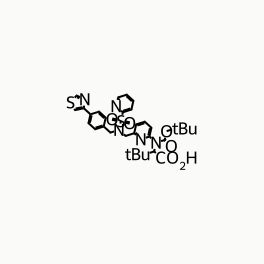 CC(C)(C)OC(=O)N(c1cccc(CN(Cc2ccc(-c3cscn3)cc2)S(=O)(=O)c2ccccn2)n1)C(C(=O)O)C(C)(C)C